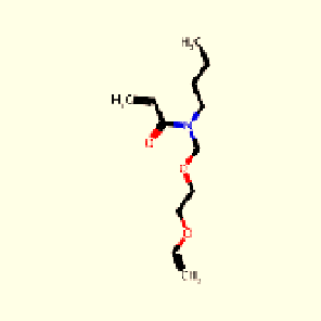 C=COCCOCN(CCCC)C(=O)C=C